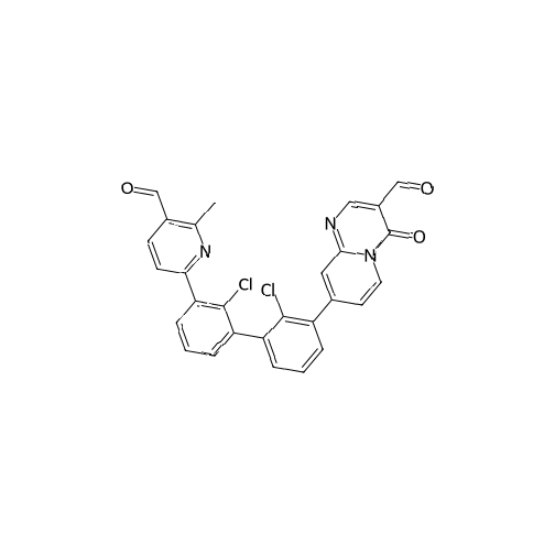 Cc1nc(-c2cccc(-c3cccc(-c4ccn5c(=O)c(C=O)cnc5c4)c3Cl)c2Cl)ccc1C=O